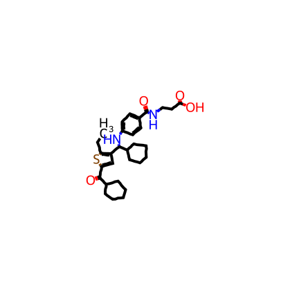 CCc1sc(C(=O)C2CCCCC2)cc1C(Nc1ccc(C(=O)NCCC(=O)O)cc1)C1CCCCC1